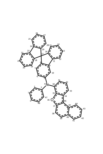 c1ccc(N(c2ccc3c(c2)-c2ccccc2C32c3ccccc3-c3ccccc32)c2cccc3c2oc2ccc4ccccc4c23)cc1